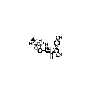 CN1CCN(c2cc3nccn3c(Nc3cc([C@H]4CC[C@@H](OC(=O)NC5(C)CC5)[C@H]4F)[nH]n3)n2)CC1